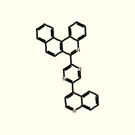 c1ccc2c(c1)ccc1c(-c3cnc(-c4ccnc5ccccc45)cn3)nc3ccccc3c12